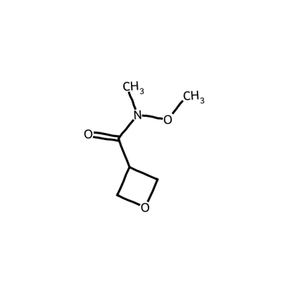 CON(C)C(=O)C1COC1